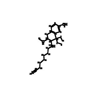 CCC1(CC)c2cc(O)ccc2CC(OC)C1NCCCCCCC#N